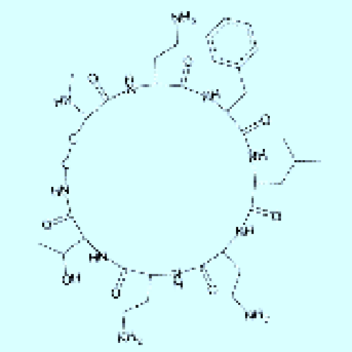 CNC1CCNC(=O)C(C(C)O)NC(=O)C(CCN)NC(=O)C(CCN)NC(=O)C(CC(C)C)NC(=O)C(Cc2ccccc2)NC(=O)C(CCN)NC1=O